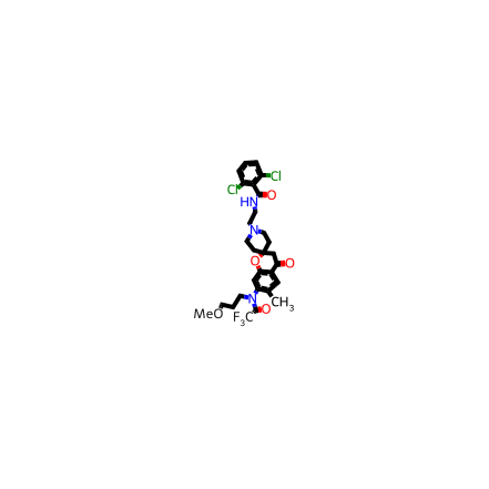 COCCCN(C(=O)C(F)(F)F)c1cc2c(cc1C)C(=O)CC1(CCN(CCNC(=O)c3c(Cl)cccc3Cl)CC1)O2